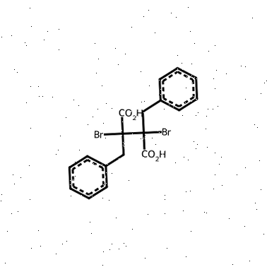 O=C(O)C(Br)(Cc1ccccc1)C(Br)(Cc1ccccc1)C(=O)O